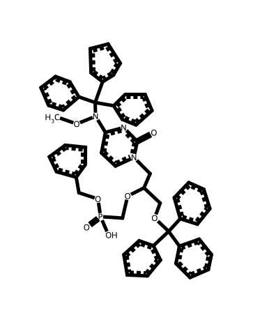 CON(c1ccn(CC(COC(c2ccccc2)(c2ccccc2)c2ccccc2)OCP(=O)(O)OCc2ccccc2)c(=O)n1)C(c1ccccc1)(c1ccccc1)c1ccccc1